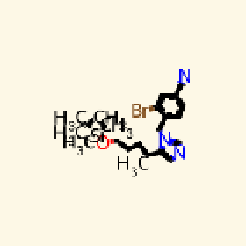 CC(CCCO[Si](C)(C)C(C)(C)C)c1cncn1Cc1ccc(C#N)cc1Br